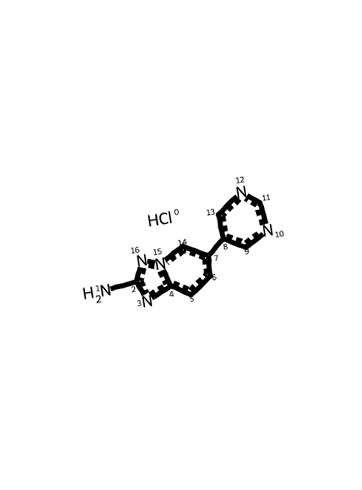 Cl.Nc1nc2ccc(-c3cncnc3)cn2n1